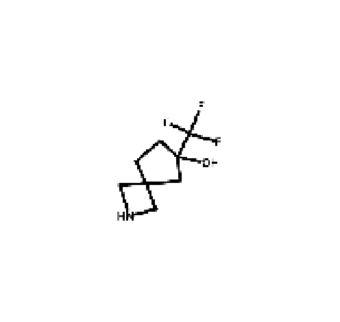 OC1(C(F)(F)F)CCC2(CNC2)C1